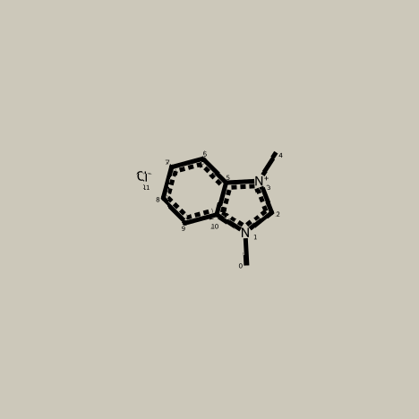 Cn1c[n+](C)c2ccccc21.[Cl-]